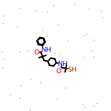 CC(C)(S)C(=O)NC1CCC(CC(C)(C)C(=O)Nc2ccccc2)CC1